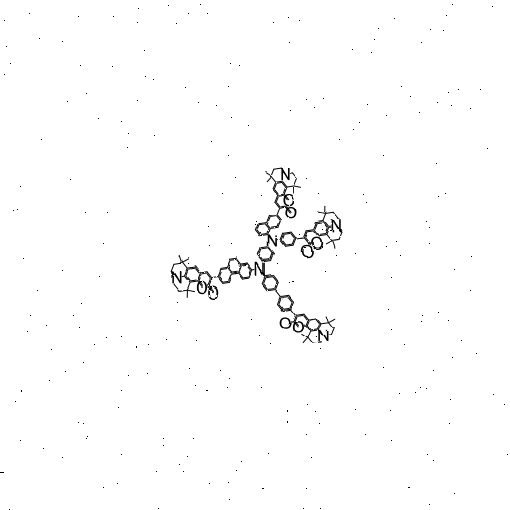 CC1(C)CCN2CCC(C)(C)c3c2c1cc1cc(-c2ccc(-c4ccc(N(c5ccc(N(c6ccc(-c7cc8cc9c%10c(c8oc7=O)C(C)(C)CCN%10CCC9(C)C)cc6)c6cccc7cc(-c8cc9cc%10c%11c(c9oc8=O)C(C)(C)CCN%11CCC%10(C)C)ccc67)cc5)c5ccc6c(ccc7cc(-c8cc9cc%10c%11c(c9oc8=O)C(C)(C)CCN%11CCC%10(C)C)ccc76)c5)cc4)cc2)c(=O)oc31